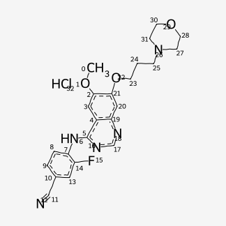 COc1cc2c(Nc3ccc(C#N)cc3F)ncnc2cc1OCCCN1CCOCC1.Cl